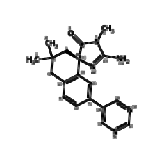 CN1C(=O)[C@]2(CC(C)(C)Cc3ccc(-c4cncnc4)cc32)N=C1N